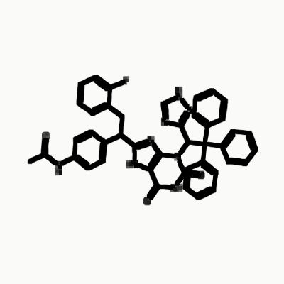 CC(=O)Nc1ccc(C(Cc2ccccc2F)c2nc3c([nH]2)c(=O)[nH]c(=O)n3C(c2nc[nH]n2)C(c2ccccc2)(c2ccccc2)c2ccccc2)cc1